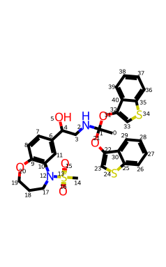 CC(NCC(O)c1ccc2c(c1)N(S(C)(=O)=O)CCCO2)(Oc1csc2ccccc12)Oc1csc2ccccc12